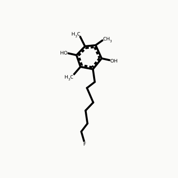 Cc1c(C)c(O)c(CCCCCCF)c(C)c1O